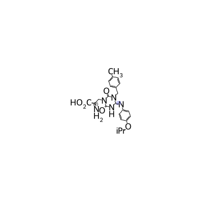 Cc1ccc(Cn2c(=O)n(C[C@@H](N)C(=O)O)c(=O)[nH]/c2=N\c2ccc(OC(C)C)cc2)cc1